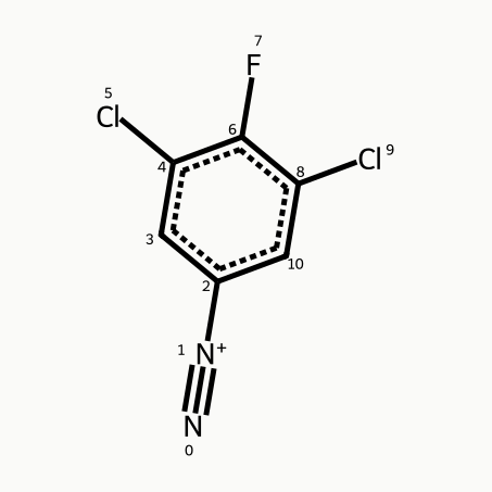 N#[N+]c1cc(Cl)c(F)c(Cl)c1